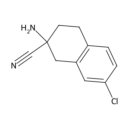 N#CC1(N)CCc2ccc(Cl)cc2C1